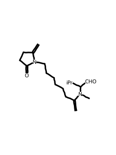 C=C1CCC(=O)N1CCCCCCC(=C)N(C)C(C=O)C(C)C